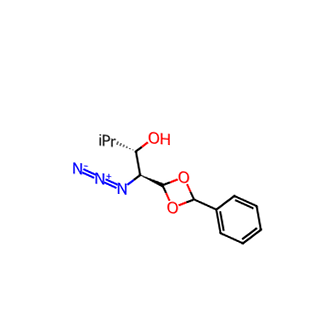 CC(C)[C@H](O)[C@H](N=[N+]=[N-])C1OC(c2ccccc2)O1